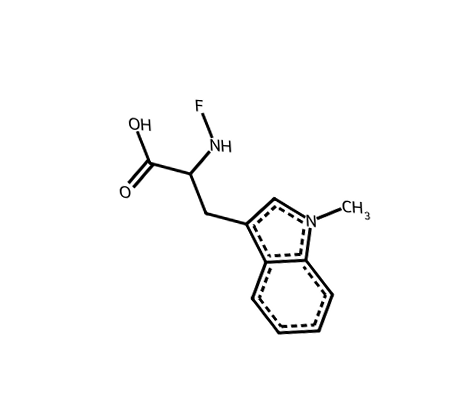 Cn1cc(CC(NF)C(=O)O)c2ccccc21